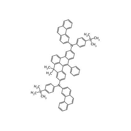 CC1(C)c2cc(N(c3ccc([Si](C)(C)C)cc3)c3ccc4ccc5ccccc5c4c3)ccc2-c2c(-c3ccccc3)c3ccc(N(c4ccc([Si](C)(C)C)cc4)c4ccc5ccc6ccccc6c5c4)cc3c3cccc1c23